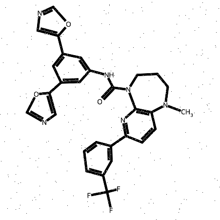 CN1CCCN(C(=O)Nc2cc(-c3cnco3)cc(-c3cnco3)c2)c2nc(-c3cccc(C(F)(F)F)c3)ccc21